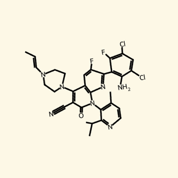 CC=CN1CCN(c2c(C#N)c(=O)n(-c3c(C)ccnc3C(C)C)c3nc(-c4c(N)c(Cl)cc(Cl)c4F)c(F)cc23)CC1